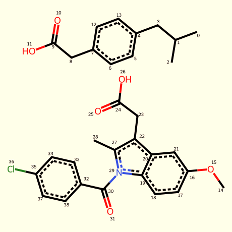 CC(C)Cc1ccc(CC(=O)O)cc1.COc1ccc2c(c1)c(CC(=O)O)c(C)n2C(=O)c1ccc(Cl)cc1